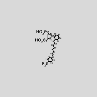 O=C(O)CCSC(SCCC(=O)O)c1ccccc1CCCCCCCSc1ccc(C(F)(F)F)cc1